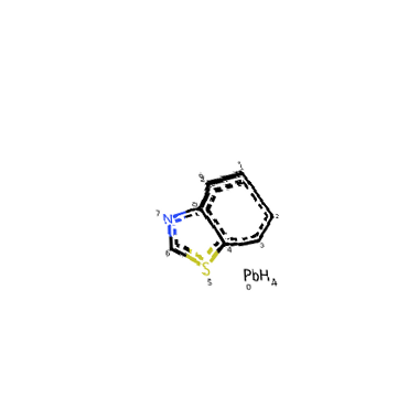 [PbH4].c1ccc2scnc2c1